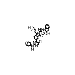 NCCC1c2ccc(-c3nc(NC4CCOCC4)ncc3Cl)cc2C(=O)N1CC(=O)N[C@H]1c2ccccc2C[C@H]1O